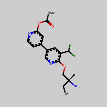 CNC(=O)Oc1cc(-c2cnc(OC[C@](C)(N)CC(C)C)c(C(F)F)c2)ccn1